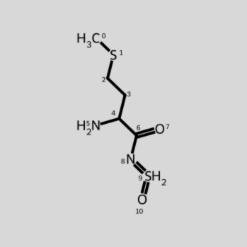 CSCCC(N)C(=O)N=[SH2]=O